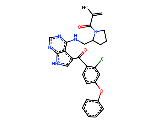 C=C(C#N)C(=O)N1CCCC1CNc1ncnc2[nH]cc(C(=O)c3ccc(Oc4ccccc4)cc3Cl)c12